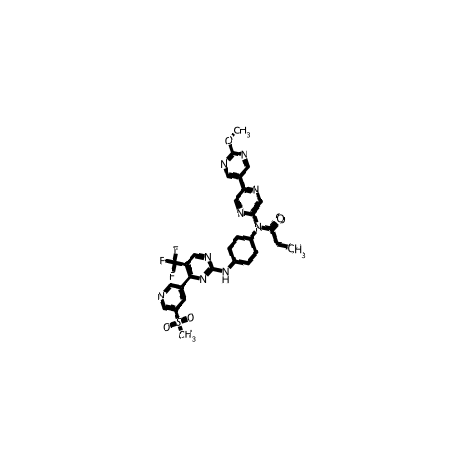 CCC(=O)N(c1cnc(-c2cnc(OC)nc2)cn1)C1CCC(Nc2ncc(C(F)(F)F)c(-c3cncc(S(C)(=O)=O)c3)n2)CC1